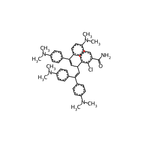 CN(C)c1ccc(C(=CC(C=C(c2ccc(N(C)C)cc2)c2ccc(N(C)C)cc2)c2cccc(C(N)=O)c2Cl)c2ccc(N(C)C)cc2)cc1